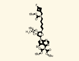 CC(C)(C)OC(=O)N(CCC/C=C/[C@H]1O[C@@H](n2cc(Br)c3c(N(C(=O)OC(C)(C)C)C(=O)OC(C)(C)C)ncnc32)C[C@@H]1O[Si](C)(C)C(C)(C)C)CC12CC(F)(C1)C2